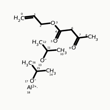 C=CCOC(=O)CC(C)=O.CC(C)[O-].CC(C)[O-].[Al+2]